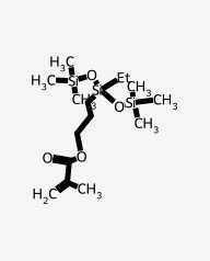 C=C(C)C(=O)OCCC[Si](CC)(O[Si](C)(C)C)O[Si](C)(C)C